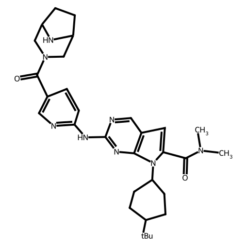 CN(C)C(=O)c1cc2cnc(Nc3ccc(C(=O)N4CC5CCC(C4)N5)cn3)nc2n1C1CCC(C(C)(C)C)CC1